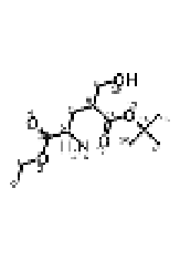 CCOC(=O)C(N)CC(CO)C(=O)OC(C)(C)C